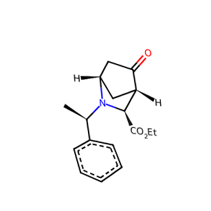 CCOC(=O)[C@@H]1[C@@H]2C[C@@H](CC2=O)N1[C@H](C)c1ccccc1